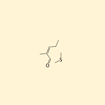 CCC=C(C)C=O.CSC